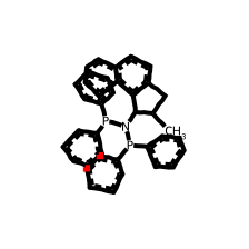 CC1Cc2ccc3ccccc3c2C1N(P(c1ccccc1)c1ccccc1)P(c1ccccc1)c1ccccc1